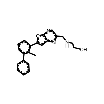 Cc1c(-c2ccccc2)cccc1-c1cc2nc(CNCCO)cnc2o1